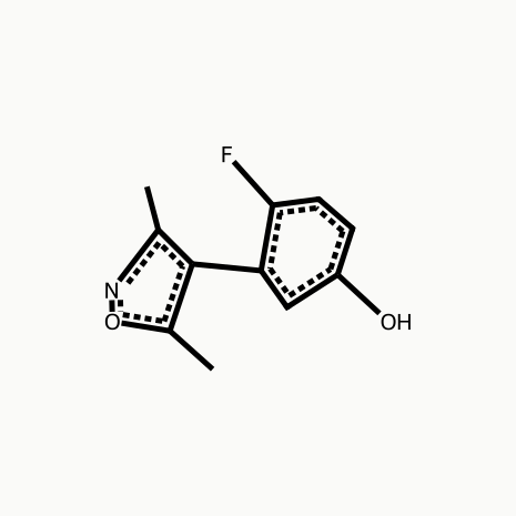 Cc1noc(C)c1-c1cc(O)ccc1F